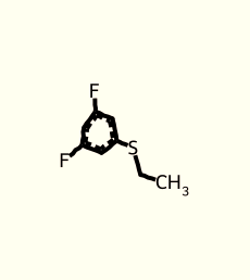 CCSc1cc(F)cc(F)c1